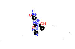 Cn1[nH]c(=O)c2ccc(Nc3ncc(-c4nc(C56CCN(CC5)CC6)no4)c(NC(CO)c4ccccc4)n3)cc21